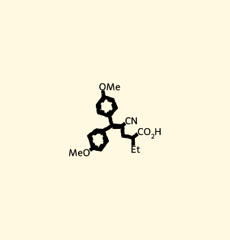 CCC(CC(C#N)=C(c1ccc(OC)cc1)c1ccc(OC)cc1)C(=O)O